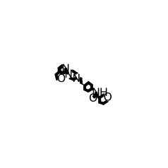 O=C(N[C@H]1CC[C@H](CCN2CCN(c3nccc4c3OCC4)CC2)CC1)C1CCCOC1